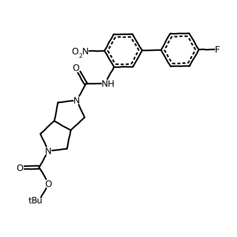 CC(C)(C)OC(=O)N1CC2CN(C(=O)Nc3cc(-c4ccc(F)cc4)ccc3[N+](=O)[O-])CC2C1